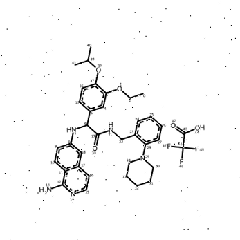 CCOc1cc(C(Nc2ccc3c(N)nccc3c2)C(=O)NCc2ccccc2N2CCCCC2)ccc1OC(C)C.O=C(O)C(F)(F)F